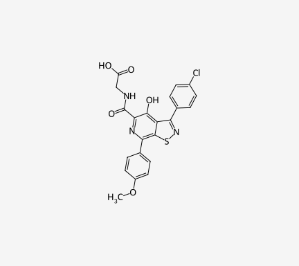 COc1ccc(-c2nc(C(=O)NCC(=O)O)c(O)c3c(-c4ccc(Cl)cc4)nsc23)cc1